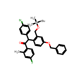 Cc1cc(F)ccc1C(=O)C(c1ccc(Br)cc1)c1ccc(OCc2ccccc2)cc1CO[Si](C)(C)C(C)(C)C